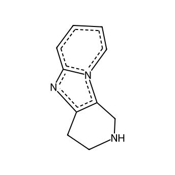 c1ccn2c3c(nc2c1)CCNC3